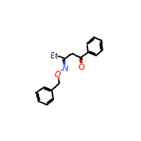 CCC(CC(=O)c1ccccc1)=NOCc1ccccc1